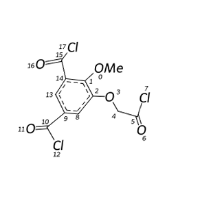 COc1c(OCC(=O)Cl)cc(C(=O)Cl)cc1C(=O)Cl